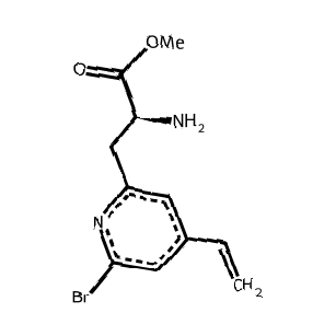 C=Cc1cc(Br)nc(C[C@H](N)C(=O)OC)c1